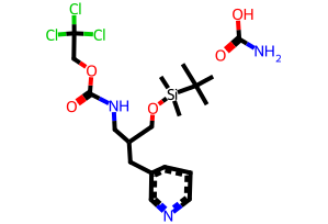 CC(C)(C)[Si](C)(C)OCC(CNC(=O)OCC(Cl)(Cl)Cl)Cc1cccnc1.NC(=O)O